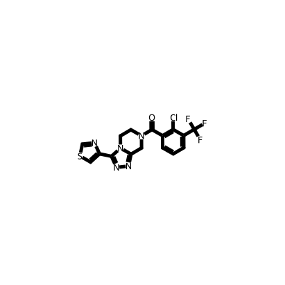 O=C(c1cccc(C(F)(F)F)c1Cl)N1CCn2c(nnc2-c2cscn2)C1